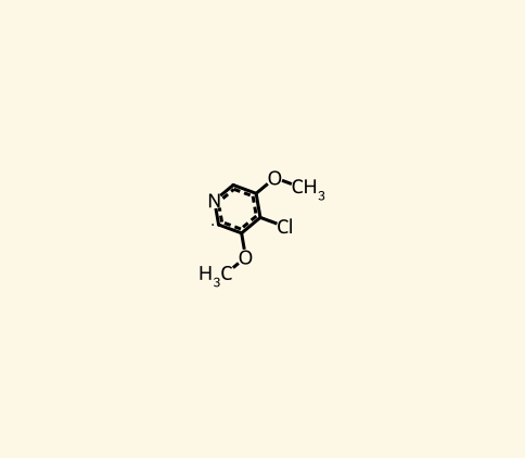 COc1[c]ncc(OC)c1Cl